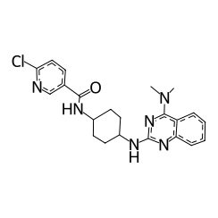 CN(C)c1nc(NC2CCC(NC(=O)c3ccc(Cl)nc3)CC2)nc2ccccc12